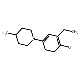 CCC1=C(Cl)CCC(N2CCC(C)CC2)=C1